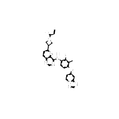 C=CC(=O)N1CC(c2ccc3ncnc(Nc4ccc(Oc5ccn6ncnc6c5)c(C)c4F)c3n2)C1